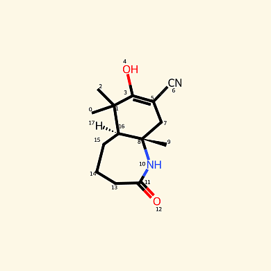 CC1(C)C(O)=C(C#N)C[C@]2(C)NC(=O)CCC[C@@H]12